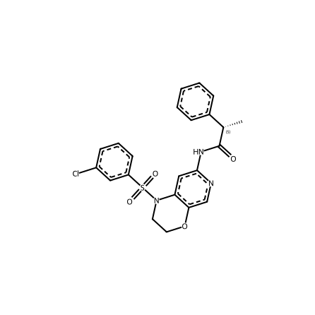 C[C@H](C(=O)Nc1cc2c(cn1)OCCN2S(=O)(=O)c1cccc(Cl)c1)c1ccccc1